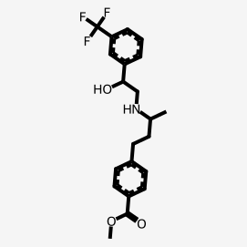 COC(=O)c1ccc(CCC(C)NCC(O)c2cccc(C(F)(F)F)c2)cc1